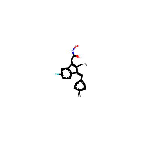 CC1=C(CC(=O)NO)c2cc(F)ccc2/C1=C\c1ccc(C(C)(C)C)cc1